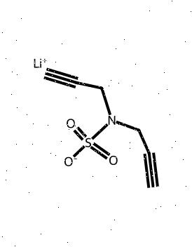 C#CCN(CC#C)S(=O)(=O)[O-].[Li+]